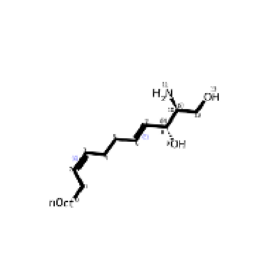 CCCCCCCCC/C=C\CC/C=C/[C@@H](O)[C@@H](N)CO